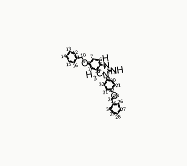 CN(C(=N)Nc1ccc(OCc2ccccc2)cc1)c1ccc(OCc2ccccc2)cc1